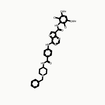 COc1cc(OC)c(Cl)c(NC(=O)c2csc3c(Nc4ccc(C(=O)NC5CCN(Cc6ccccc6)CC5)cc4)ncnc23)c1Cl